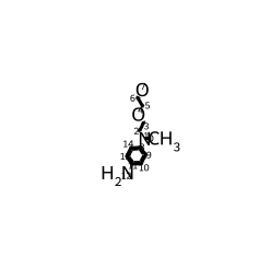 CN(CCOCC=O)c1ccc(N)cc1